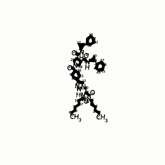 CCCCCCNC(=O)[C@H](Cn1cc(-c2ccc(C(=O)N3C[C@@H](C(=O)N[C@H]4C[C@@H]4c4ccccc4)[C@H](C(=O)N[C@H]4C[C@@H]4c4ccccc4)C3)cc2)nn1)NC(=O)CCCCCC